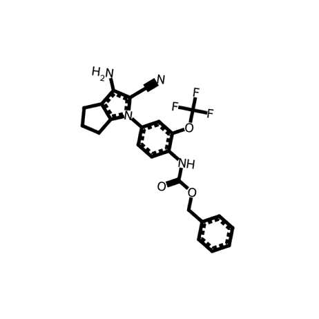 N#Cc1c(N)c2c(n1-c1ccc(NC(=O)OCc3ccccc3)c(OC(F)(F)F)c1)CCC2